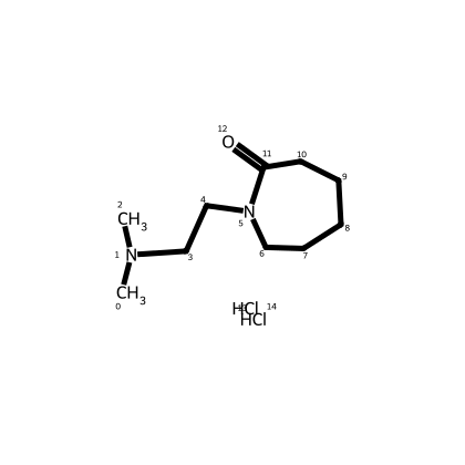 CN(C)CCN1CCCCCC1=O.Cl.Cl